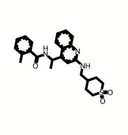 Cc1ccccc1C(=O)NC(C)c1cc(NCC2CCS(=O)(=O)CC2)nc2ccccc12